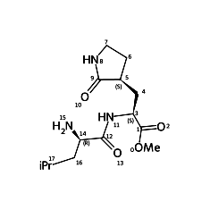 COC(=O)[C@H](C[C@@H]1CCNC1=O)NC(=O)[C@H](N)CC(C)C